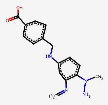 C=Nc1cc(NCc2ccc(C(=O)O)cc2)ccc1N(C)N